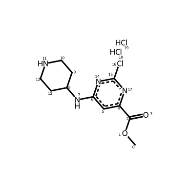 COC(=O)c1cc(NC2CCNCC2)nc(Cl)n1.Cl.Cl